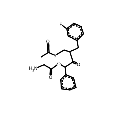 CC(=O)SCC(Cc1cccc(F)c1)C(=O)C(OC(=O)CN)c1ccccc1